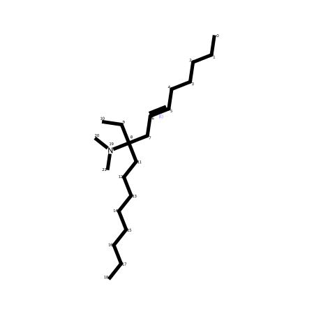 CCCCC/C=C/CC(CC)(CCCCCCCC)N(C)C